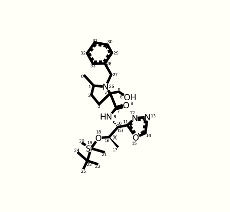 CC1CCC(CO)(C(=O)N[C@H](c2nnco2)[C@@H](C)O[Si](C)(C)C(C)(C)C)N1Cc1ccccc1